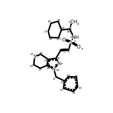 C[C@@H](NS(=O)(=O)/C=C/c1nn(Cc2ccccc2)c2c1CSCC2)C1CCCCC1